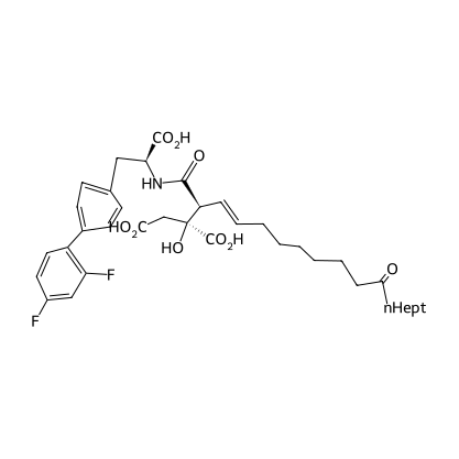 CCCCCCCC(=O)CCCCCC/C=C/[C@H](C(=O)N[C@@H](Cc1ccc(-c2ccc(F)cc2F)cc1)C(=O)O)[C@@](O)(CC(=O)O)C(=O)O